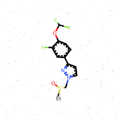 CC[S+]([O-])Cn1ccc(-c2ccc(OC(F)F)c(F)c2)n1